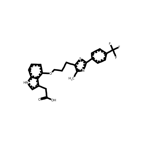 Cc1nc(-c2ccc(C(F)(F)F)cc2)sc1CCCOc1cccc2[nH]cc(CC(=O)O)c12